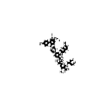 CC1(C)CCC(CN2CCN(c3ccc(C(=O)NS(=O)(=O)c4ccc(C(N)=O)c(OCC5CCOCC5)n4)c(Oc4cnc5[nH]ccc5c4)c3)CC2)=C(c2ccc(Cl)cc2)C1